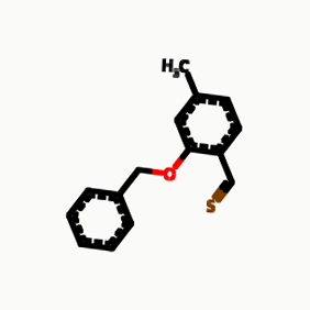 Cc1ccc(C=S)c(OCc2ccccc2)c1